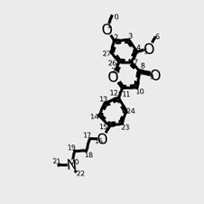 COc1cc(OC)c2c(=O)cc(-c3ccc(OCCCN(C)C)cc3)oc2c1